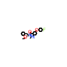 CCOC[C@H](Cc1ccccc1)n1c(C)nc2ccc(Oc3ccc(F)cc3)cc2c1=O